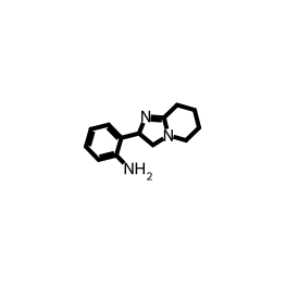 Nc1ccccc1C1CN2CCCCC2=N1